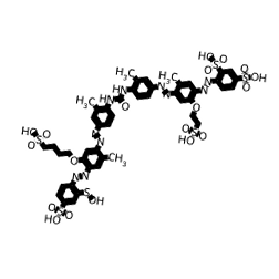 Cc1cc(N=Nc2ccc(S(=O)(=O)O)cc2SO)c(OCCCCS(=O)(=O)O)cc1N=Nc1ccc(NC(=O)Nc2ccc(N=Nc3cc(OCCS(=O)(=O)O)c(N=Nc4ccc(S(=O)(=O)O)cc4S(=O)(=O)O)cc3C)cc2C)c(C)c1